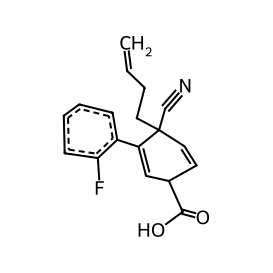 C=CCCC1(C#N)C=CC(C(=O)O)C=C1c1ccccc1F